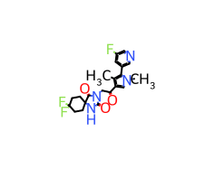 Cc1c(C(=O)CN2C(=O)NC3(CCC(F)(F)CC3)C2=O)cn(C)c1-c1cncc(F)c1